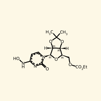 CCOC(=O)OC[C@H]1O[C@@H](n2ccc(NO)nc2=O)[C@@H]2OC(C)(C)O[C@@H]21